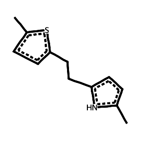 Cc1ccc(CCc2ccc(C)s2)[nH]1